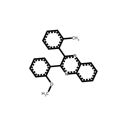 COc1ccccc1-c1nc2ccccc2nc1-c1ccccc1C